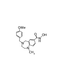 COc1ccc(CN2CCN(C)c3ccc(C(=O)NO)cc3C2)cc1